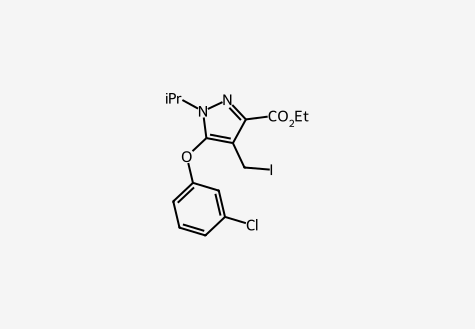 CCOC(=O)c1nn(C(C)C)c(Oc2cccc(Cl)c2)c1CI